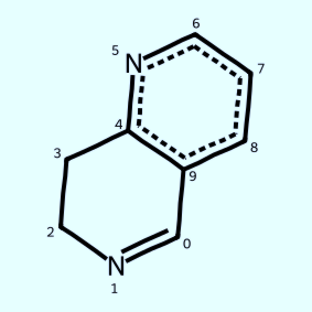 C1=NCCc2ncccc21